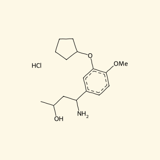 COc1ccc(C(N)CC(C)O)cc1OC1CCCC1.Cl